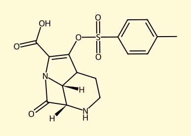 Cc1ccc(S(=O)(=O)OC2=C(C(=O)O)N3C(=O)[C@H]4NCCC2[C@H]43)cc1